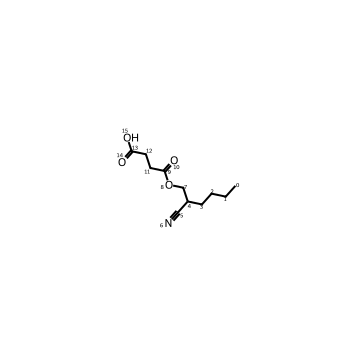 CCCCC(C#N)COC(=O)CCC(=O)O